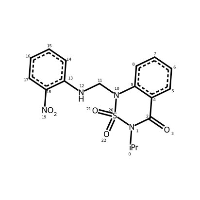 CC(C)N1C(=O)c2ccccc2N(CNc2ccccc2[N+](=O)[O-])S1(=O)=O